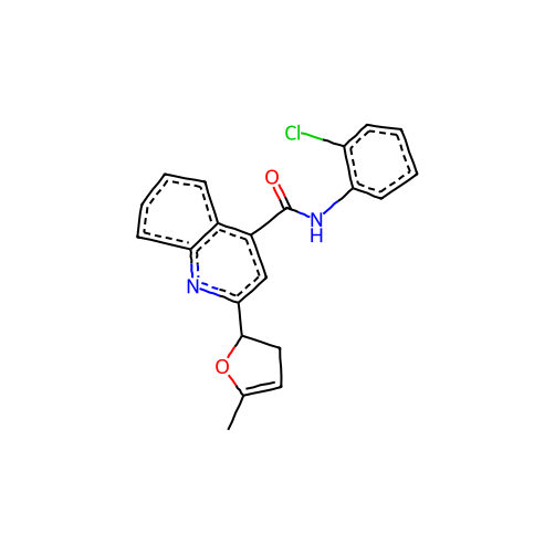 CC1=CCC(c2cc(C(=O)Nc3ccccc3Cl)c3ccccc3n2)O1